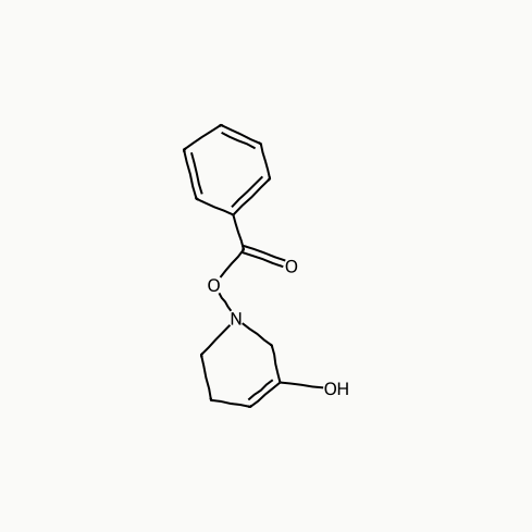 O=C(ON1CCC=C(O)C1)c1ccccc1